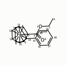 CCOC(=O)[C]12[CH]3[CH]4[CH]5[CH]1[Fe]45321678[CH]2[CH]1[CH]6[C]7(c1ccccc1)[CH]28